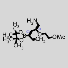 C=C/C(=C\C(=C/N)OCCOC)B1OC(C)(C)C(C)(C)O1